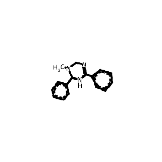 CN1CN=C(c2ccccc2)NC1c1ccccc1